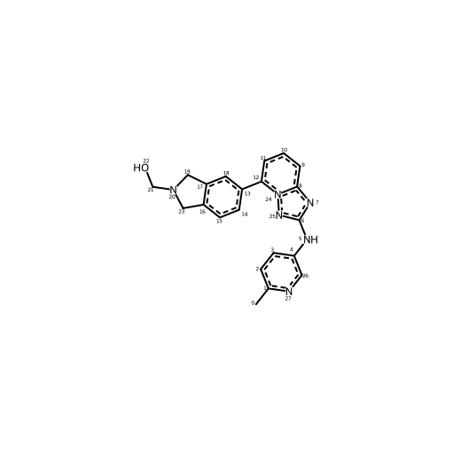 Cc1ccc(Nc2nc3cccc(-c4ccc5c(c4)CN(CO)C5)n3n2)cn1